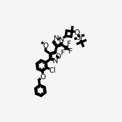 COCc1c(-c2cccc(OCc3ccccc3)c2Cl)noc1-c1cnn(C2CC(C)(O[Si](C)(C)C(C)(C)C)C2)c1C(F)(F)F